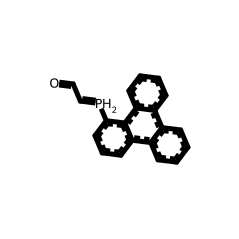 O=C/C=[PH2]/c1cccc2c3ccccc3c3ccccc3c12